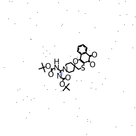 CC(C)(C)OC(=O)/N=C(/NC(=O)OC(C)(C)C)N1CCC2(CC1)CSC1=C(O2)c2ccccc2C(=O)C1=O